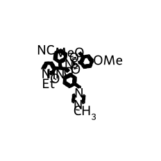 CCOc1ncccc1C1(Nc2ccc(CN3CCN(C)CC3)cc2)C(=O)N(S(=O)(=O)c2ccc(OC)cc2OC)c2ccc(C#N)cc21